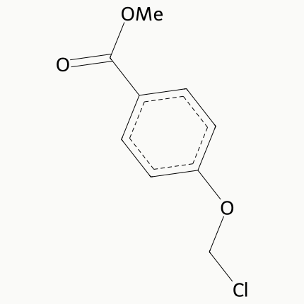 COC(=O)c1ccc(OCCl)cc1